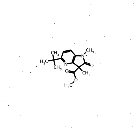 COC(=O)C1(C)C(=O)N(C)c2ccc(C(C)(C)C)nc21